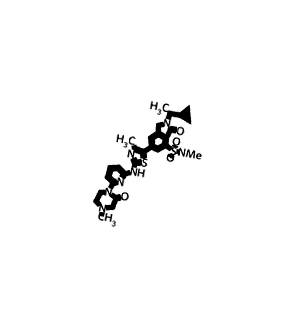 CNS(=O)(=O)c1cc(-c2sc(Nc3cccc(N4CCN(C)CC4=O)n3)nc2C)cc2c1C(=O)N([C@@H](C)C1CC1)C2